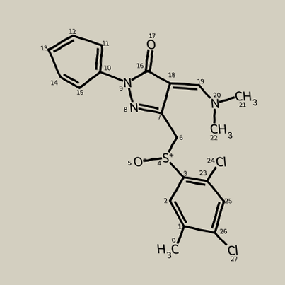 Cc1cc([S+]([O-])CC2=NN(c3ccccc3)C(=O)C2=CN(C)C)c(Cl)cc1Cl